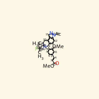 COC(=O)/C=C/c1ccc([C@@H]2c3ccc4c(cnn4C(C)=O)c3C[C@@H](C)N2CC(C)(C)F)c(OC)c1